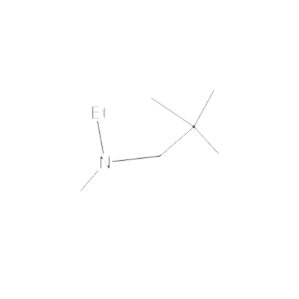 CCN(C)[C@@H](C)C(C)(C)C